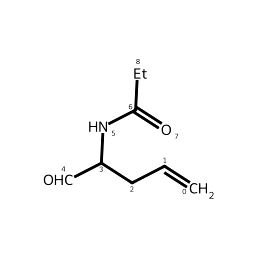 C=CCC(C=O)NC(=O)CC